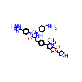 Cc1nc(C(=O)N[C@@H]2CCNC2)ccc1-c1ccc(C[C@H](NC(=O)[C@H]2CC[C@H](CN)CC2)C(=O)Nc2ccc(-c3nn[nH]n3)cc2)cc1